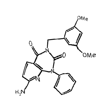 COc1cc(Cn2c(=O)c3ccc(N)nc3n(-c3ccccc3)c2=O)cc(OC)c1